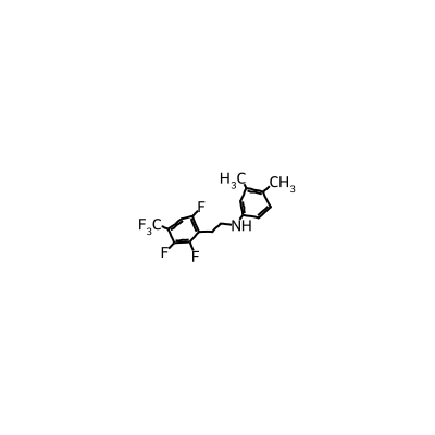 Cc1ccc(NCCc2c(F)cc(C(F)(F)F)c(F)c2F)cc1C